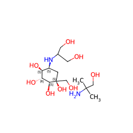 CC(C)(N)CO.OCC(CO)N[C@H]1C[C@](O)(CO)[C@@H](O)[C@H](O)[C@H]1O